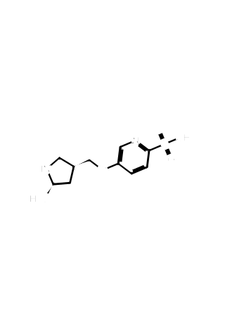 C[C@@H]1C[C@H](COc2ccc(S(C)(=O)=O)nc2)CN1